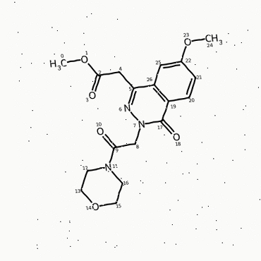 COC(=O)Cc1nn(CC(=O)N2CCOCC2)c(=O)c2ccc(OC)cc12